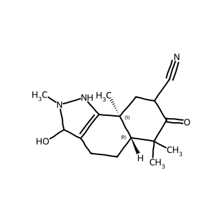 CN1NC2=C(CC[C@H]3C(C)(C)C(=O)C(C#N)C[C@]23C)C1O